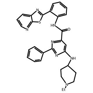 CCN1CCC(Nc2cc(C(=O)Nc3ccccc3-c3nc4cccnc4s3)nc(-c3ccccc3)n2)CC1